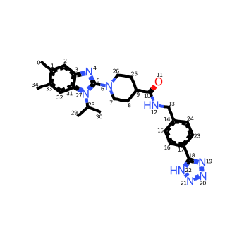 Cc1cc2nc(N3CCC(C(=O)NCc4ccc(-c5nnn[nH]5)cc4)CC3)n(C(C)C)c2cc1C